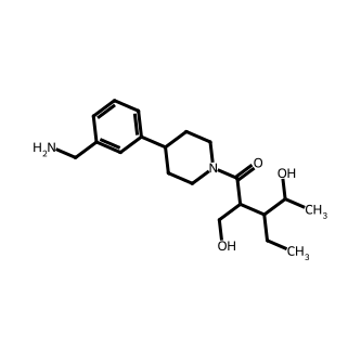 CCC(C(C)O)C(CO)C(=O)N1CCC(c2cccc(CN)c2)CC1